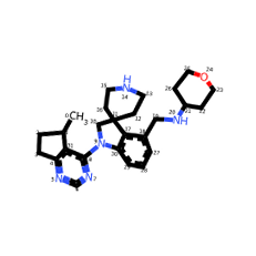 CC1CCc2ncnc(N3CC4(CCNCC4)c4c(CNC5CCOCC5)cccc43)c21